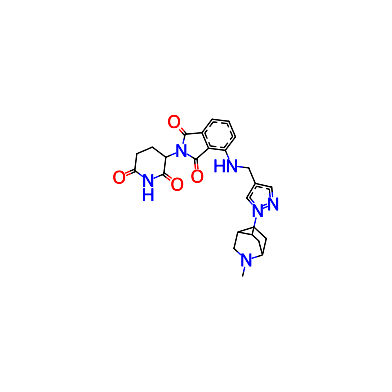 CN1CC2CCC1CC2n1cc(CNc2cccc3c2C(=O)N(C2CCC(=O)NC2=O)C3=O)cn1